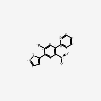 O=[N+]([O-])c1cc(-c2ccns2)c(F)cc1-c1ccccn1